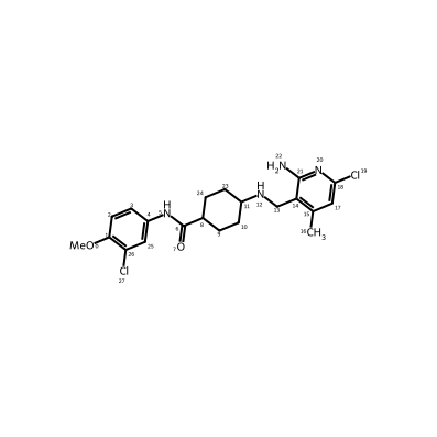 COc1ccc(NC(=O)C2CCC(NCc3c(C)cc(Cl)nc3N)CC2)cc1Cl